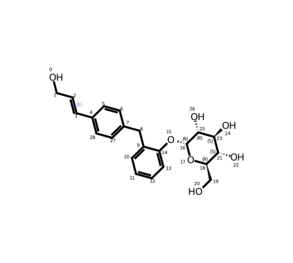 OC/C=C/c1ccc(Cc2ccccc2O[C@H]2O[C@H](CO)[C@@H](O)[C@H](O)[C@H]2O)cc1